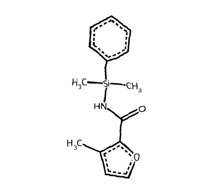 Cc1ccoc1C(=O)N[Si](C)(C)c1ccccc1